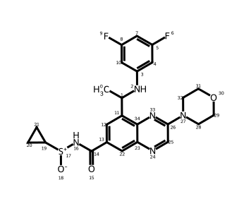 CC(Nc1cc(F)cc(F)c1)c1cc(C(=O)N[S+]([O-])C2CC2)cc2ncc(N3CCOCC3)nc12